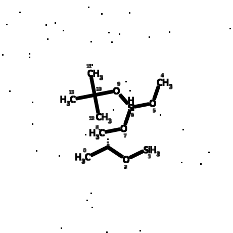 CCO[SiH3].CO[SiH](OC)OC(C)(C)C